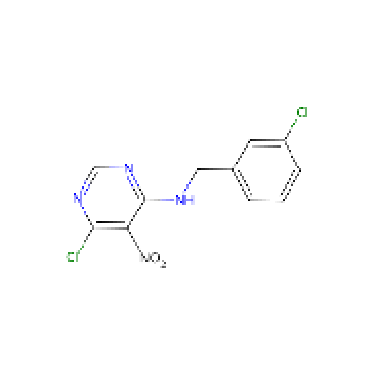 O=[N+]([O-])c1c(Cl)ncnc1NCc1cccc(Cl)c1